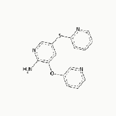 Nc1ncc(Sc2ccccn2)cc1Oc1cccnc1